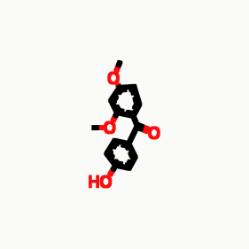 COc1ccc(C(=O)c2ccc(O)cc2)c(OC)c1